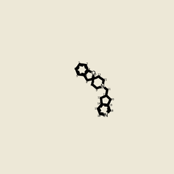 c1ccc2c(c1)CC1(CCN(CC3Cc4ccncc4C3)CC1)O2